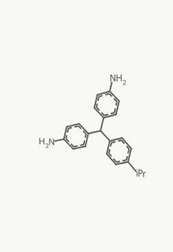 CC(C)c1ccc(C(c2ccc(N)cc2)c2ccc(N)cc2)cc1